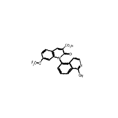 O=C(O)c1cc2ccc(OC(F)(F)F)cc2n(-c2cccc3c(O)nccc23)c1=O